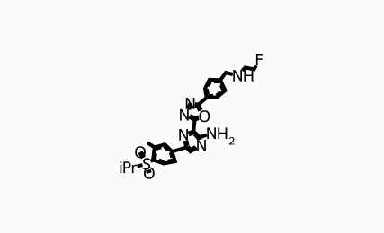 Cc1cc(-c2cnc(N)c(-c3nnc(-c4ccc(CNCCF)cc4)o3)n2)ccc1S(=O)(=O)C(C)C